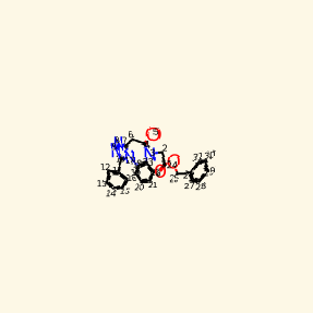 O=C(CN1C(=O)Cc2nnc(-c3ccccc3)n2-c2ccccc21)OCc1ccccc1